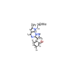 CCCc1cc2c(C)nc3c(-c4c(C)cc(C)cc4Br)c(C)nn3c2n1CCOC